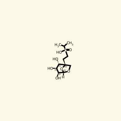 CC(C)P(=O)(O)CC[C@@]12CO[C@@H](O1)[C@@H](O)[C@@H](O)[C@@H]2O